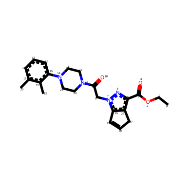 CCOC(=O)c1nn(CC(=O)N2CCN(c3cccc(C)c3C)CC2)c2c1CC=C2